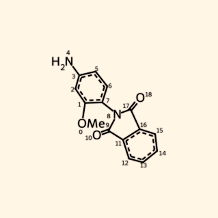 COc1cc(N)ccc1N1C(=O)c2ccccc2C1=O